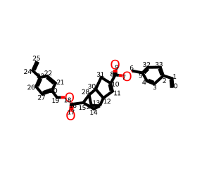 C=Cc1ccc(COC(=O)C2=CC3C4CC(C(=O)OCc5ccc(C=C)cc5)C(C4)C3C2)cc1